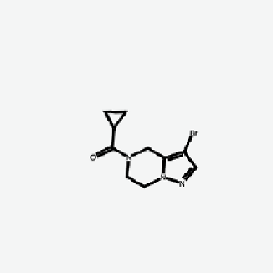 O=C(C1CC1)N1CCn2ncc(Br)c2C1